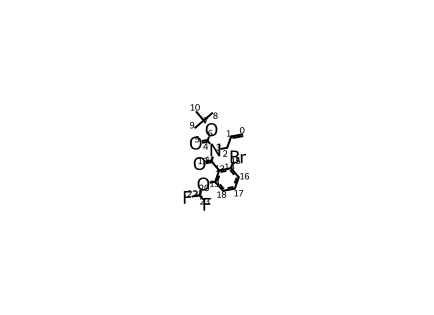 C=CCN(C(=O)OC(C)(C)C)C(=O)c1c(Br)cccc1OC(F)F